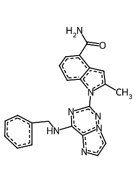 Cc1cc2c(C(N)=O)cccc2n1-c1nc(NCc2ccccc2)c2nccn2n1